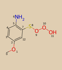 COc1ccc(N)c(SOOO)c1